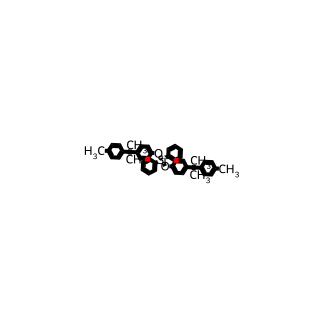 Cc1ccc(C(C)(C)c2ccc(O[Si](Oc3ccc(C(C)(C)c4ccc(C)cc4)cc3)(c3ccccc3)c3ccccc3)cc2)cc1